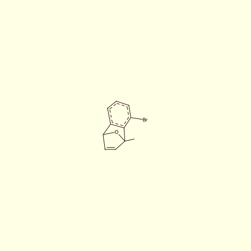 CC12C=CC(O1)c1cccc(Br)c12